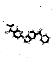 C=C(C)C(O)C1=C(C)NC(N2COc3cc(C(=O)N4CCCCC4)cnc32)C=C1